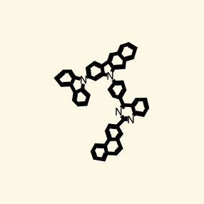 c1ccc2cc3c(cc2c1)c1ccc(-n2c4ccccc4c4ccccc42)cc1n3-c1ccc(-c2nc(-c3ccc4c(ccc5ccccc54)c3)nc3ccccc23)cc1